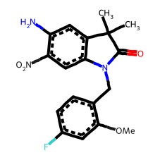 COc1cc(F)ccc1CN1C(=O)C(C)(C)c2cc(N)c([N+](=O)[O-])cc21